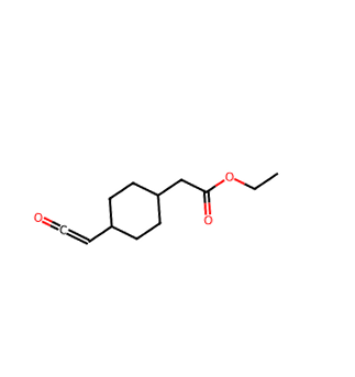 CCOC(=O)CC1CCC(C=C=O)CC1